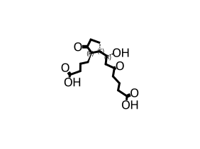 O=C(O)CCCC(=O)C[C@@H](O)[C@H]1CCC(=O)[C@@H]1CCCC(=O)O